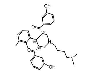 Cc1cccc([C@@H]2[C@@H](C(=O)c3cccc(O)c3)CN(CCCCN(C)C)C[C@H]2C(=O)c2cccc(O)c2)c1C